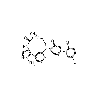 CC1CCCC(n2cnc(-c3cc(Cl)ccc3Cl)cc2=O)c2cc(ccn2)-c2c(cnn2C)NC1=O